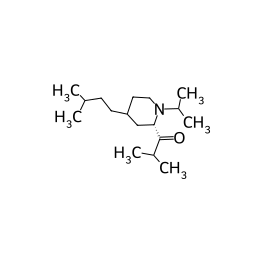 CC(C)CCC1CCN(C(C)C)[C@H](C(=O)C(C)C)C1